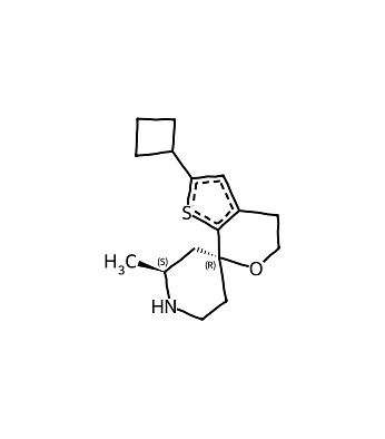 C[C@H]1C[C@@]2(CCN1)OCCc1cc(C3CCC3)sc12